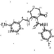 Nc1cc(CNC2=C(C(=S)Nc3ccc(F)cc3)C(=O)CCC2)ccn1